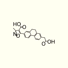 Cc1noc(-c2ccc3c(c2)CCc2cc(CC(=O)O)ccc2-3)c1C(=O)O